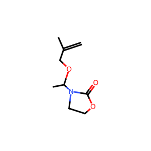 C=C(C)COC(C)N1CCOC1=O